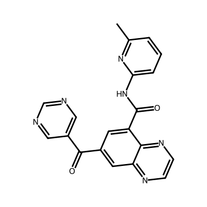 Cc1cccc(NC(=O)c2cc(C(=O)c3cncnc3)cc3nccnc23)n1